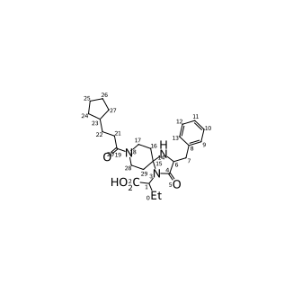 CCC(C(=O)O)N1C(=O)C(Cc2ccccc2)NC12CCN(C(=O)CCC1CCCC1)CC2